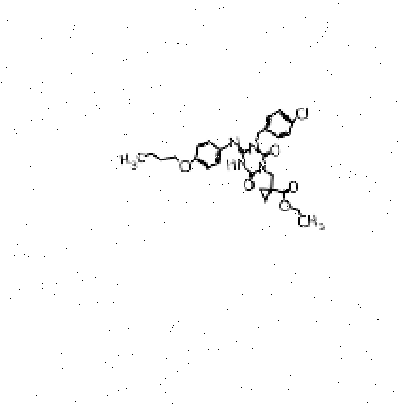 CCCCOc1ccc(/N=c2\[nH]c(=O)n(CC3(C(=O)OCC)CC3)c(=O)n2Cc2ccc(Cl)cc2)cc1